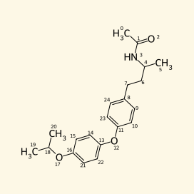 CC(=O)NC(C)CCc1ccc(Oc2ccc(OC(C)C)cc2)cc1